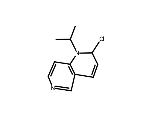 CC(C)N1c2ccncc2C=CC1Cl